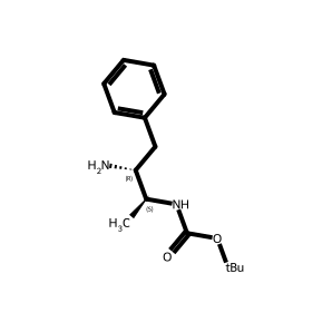 C[C@H](NC(=O)OC(C)(C)C)[C@H](N)Cc1ccccc1